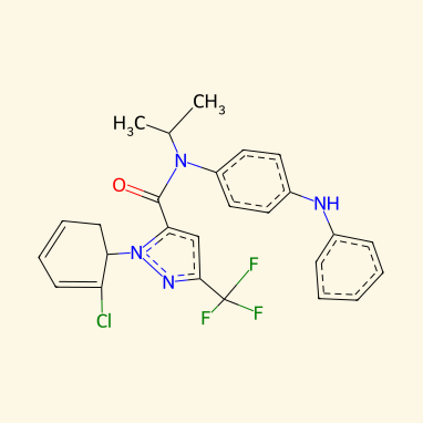 CC(C)N(C(=O)c1cc(C(F)(F)F)nn1C1CC=CC=C1Cl)c1ccc(Nc2ccccc2)cc1